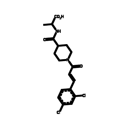 CC(NC(=O)C1CCN(C(=O)C=Cc2ccc(Cl)cc2Cl)CC1)C(=O)O